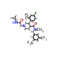 Cc1cc(F)ccc1C1CN(CC(=O)NC2CC2)CCC1C(=O)N(C)Cc1cc(C(F)(F)F)cc(C(F)(F)F)c1